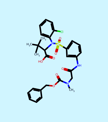 CN(CC(=O)Nc1cccc(S(=O)(=O)N(c2ccccc2Cl)C(C(=O)O)C(C)(C)C)c1)C(=O)OCc1ccccc1